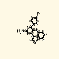 Nc1nc(-c2ccc(F)cc2)c(Cc2ccccc2)c(-c2ccsc2)n1